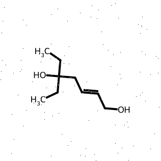 CCC(O)(CC)CC=CCO